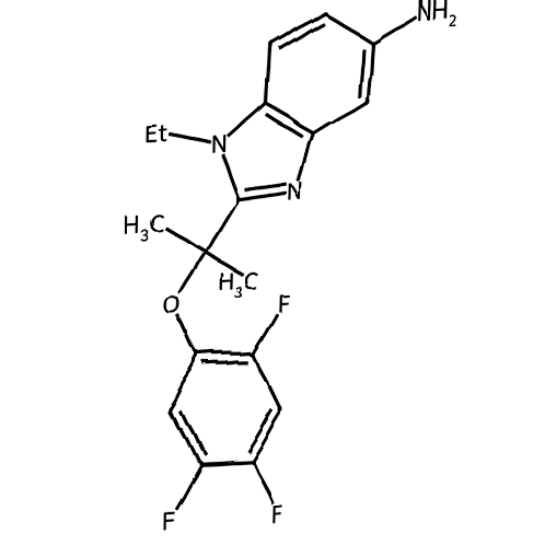 CCn1c(C(C)(C)Oc2cc(F)c(F)cc2F)nc2cc(N)ccc21